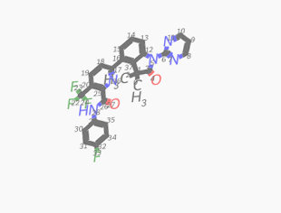 CC1(C)C(=O)N(c2ncccn2)c2cccc(-c3ccc(C(F)(F)F)c(C(=O)Nc4ccc(F)cc4)n3)c21